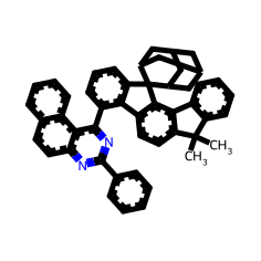 CC1(C)c2ccccc2-c2c1ccc1c2C2(c3cccc(-c4nc(-c5ccccc5)nc5ccc6ccccc6c45)c3-1)C1CC3CC(C1)CC2C3